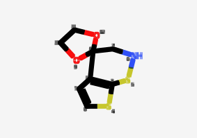 c1cc2c(s1)SNCC21OCCO1